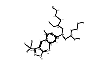 CCCCC(CC)CN(CC(CC)CCCC)c1cc(C)c(C=C2C(=O)ON=C2C(C)(C)C)c(C)c1